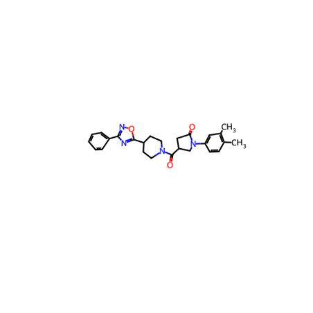 Cc1ccc(N2CC(C(=O)N3CCC(c4nc(-c5ccccc5)no4)CC3)CC2=O)cc1C